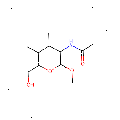 COC1OC(CO)C(C)C(C)C1NC(C)=O